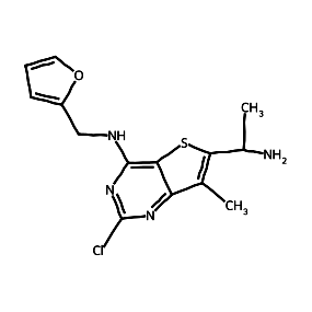 Cc1c(C(C)N)sc2c(NCc3ccco3)nc(Cl)nc12